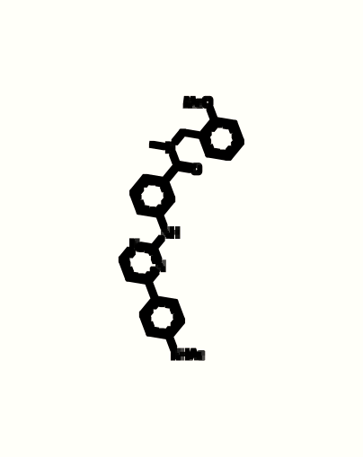 COc1ccccc1CN(C)C(=O)c1cccc(Nc2nccc(-c3ccc(NC(C)=O)cc3)n2)c1